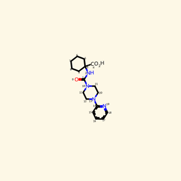 O=C(NC1(C(=O)O)CCCCC1)N1CCN(c2ccccn2)CC1